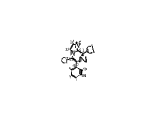 Clc1nc(-c2ccccc2)c(Cl)n2ccnc12